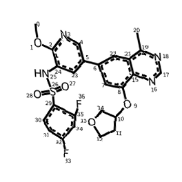 COc1ncc(-c2cc(OC3CCOC3)c3ncnc(C)c3c2)cc1NS(=O)(=O)c1ccc(F)cc1F